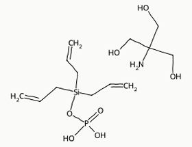 C=CC[Si](CC=C)(CC=C)OP(=O)(O)O.NC(CO)(CO)CO